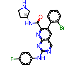 O=C(N[C@@H]1CCNC1)c1nc2nc(Nc3ccc(F)cc3)ncc2cc1-c1ccccc1Br